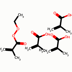 C=C(C)C(=O)O.C=C(C)C(=O)O.C=C(C)C(=O)O.C=C(C)C(=O)OOCC